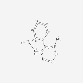 C[C@@H](Nc1nccc(N)n1)c1ccccc1